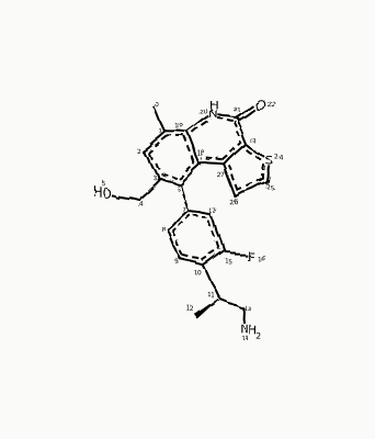 Cc1cc(CO)c(-c2ccc([C@H](C)CN)c(F)c2)c2c1[nH]c(=O)c1sccc12